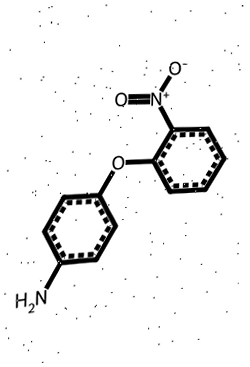 Nc1ccc(Oc2ccccc2[N+](=O)[O-])cc1